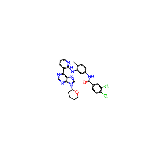 Cc1ccc(NC(=O)c2ccc(Cl)c(Cl)c2)cc1Nc1ncccc1-c1ncnc2c1ncn2C1CCCCO1